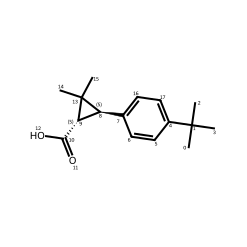 CC(C)(C)c1ccc([C@H]2[C@H](C(=O)O)C2(C)C)cc1